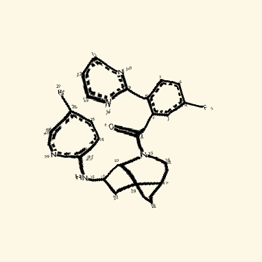 O=C(c1cc(F)ccc1-c1ncccn1)N1CC2CC23CC(Nc2ccc(Br)cn2)C13